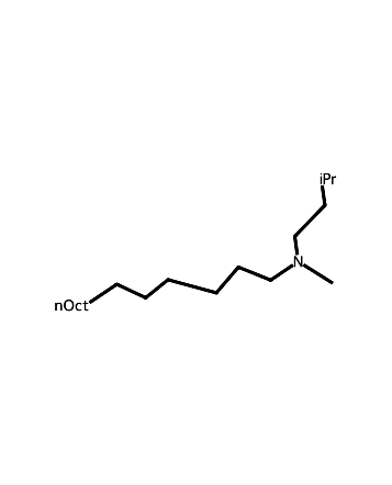 CCCCCCCCCCCCCCN(C)CCC(C)C